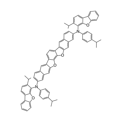 CC(C)c1ccc(N(c2ccc3cc4c(cc3c2)oc2c4ccc3c4cc5ccc(N(c6ccc(C(C)C)cc6)c6c(C(C)C)ccc7c6oc6ccccc67)cc5cc4oc32)c2c(C(C)C)ccc3c2oc2ccccc23)cc1